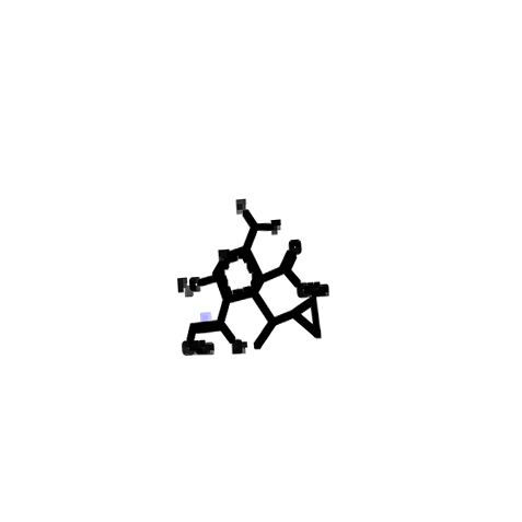 CO/C=C(\Br)c1c(C(F)(F)F)nc(C(F)F)c(C(=O)OC)c1C(C)C1CC1